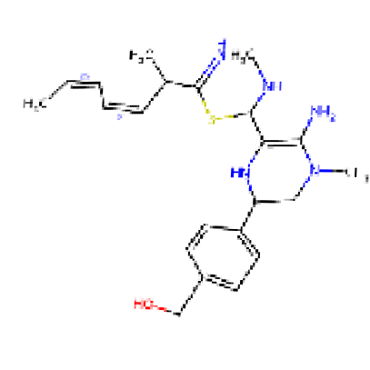 C/C=C\C=C/C(C)C(=N)SC(NC)C1=C(N)N(C)CC(c2ccc(CO)cc2)N1